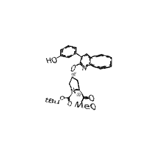 COC(=O)[C@@H]1C[C@@H](Oc2nc3ccccc3cc2-c2cccc(O)c2)CN1C(=O)OC(C)(C)C